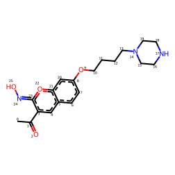 CC(=O)c1cc2ccc(OCCCCN3CCNCC3)cc2oc1=NO